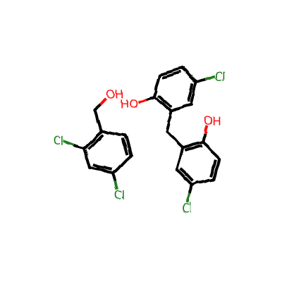 OCc1ccc(Cl)cc1Cl.Oc1ccc(Cl)cc1Cc1cc(Cl)ccc1O